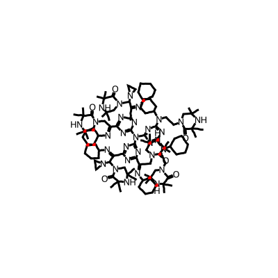 CC1(C)CN(CCN(c2nc(N(c3nc(C(CN4CC(C)(C)NC(C)(C)C4=O)=NC4CCCCC4)nc(C(=NC4CCCCC4)C(N4CC4)N4CC(C)(C)NC(C)(C)C4=O)n3)c3nc(C(CN4CC(C)(C)NC(C)(C)C4=O)=NC4CCCCC4)nc(C(=NC4CCCCC4)C(N4CC4)N4CC(C)(C)NC(C)(C)C4=O)n3)nc(N(CCN3CC(C)(C)NC(C)(C)C3=O)C3CCCCC3)n2)C2CCCCC2)C(=O)C(C)(C)N1